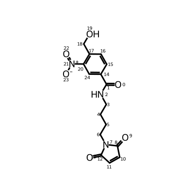 O=C(NCCCCN1C(=O)C=CC1=O)c1ccc(CO)c([N+](=O)[O-])c1